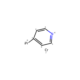 CC(C)c1ccncc1.[Cr]